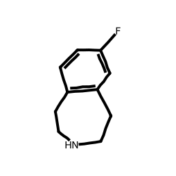 Fc1ccc2c(c1)CCNCC2